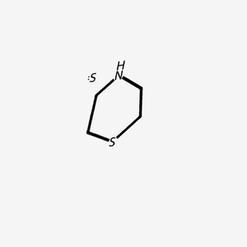 C1CSCCN1.[S]